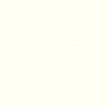 CCCCCCc1noc(C=Cc2ccc(OC)c(OC)c2)n1